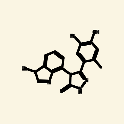 CCc1cc(-c2n[nH]c(=S)n2-c2cccc3c2ncn3CC)c(C)cc1O